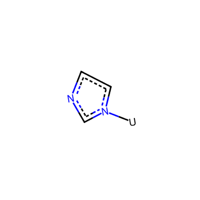 [U][n]1ccnc1